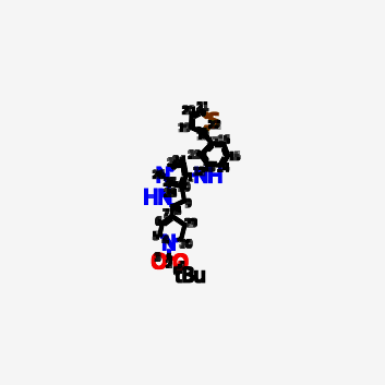 CC(C)(C)OC(=O)N1CC=C(C2Cc3c(Nc4cccc(-c5cccs5)c4)ccnc3N2)CC1